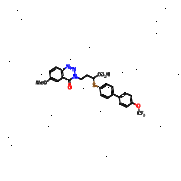 COc1ccc2nnn(CCC(Sc3ccc(-c4ccc(OC(F)(F)F)cc4)cc3)C(=O)O)c(=O)c2c1